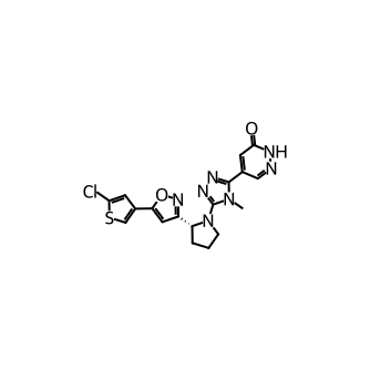 Cn1c(-c2cn[nH]c(=O)c2)nnc1N1CCC[C@@H]1c1cc(-c2csc(Cl)c2)on1